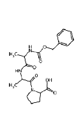 CC(NC(=O)OCc1ccccc1)C(=O)NC(C)C(=O)N1CCCC1C(=O)O